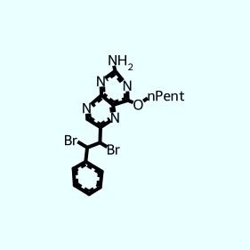 CCCCCOc1nc(N)nc2ncc(C(Br)C(Br)c3ccccc3)nc12